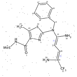 CSNC(=O)c1nc(N(Cc2ccccc2)/C(N)=C/C=C(\N)C(F)(F)F)sc1C